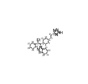 CC/C(=C(\c1ccc(/C=C/c2nn[nH]n2)cc1)n1ncc2ccccc21)c1ccccc1